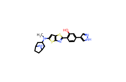 CN(c1cc2sc(-c3ccc(-c4cn[nH]c4)cc3O)nc2s1)C1CC2CCC(C1)N2